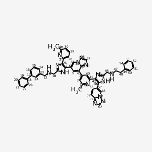 Cc1cc(-c2cc(-c3[nH]c(CNCc4cccc(-c5ccccc5)c4)nc3-c3cccc(C)n3)cn3ncnc23)cc(-c2nc(CNCCc3ccccc3)[nH]c2-c2ccc3ncnn3c2)n1